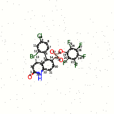 O=c1ccc2c(-c3ccc(Cl)cc3Br)c(S(=O)(=O)Oc3c(F)c(F)c(F)c(F)c3F)ccc2[nH]1